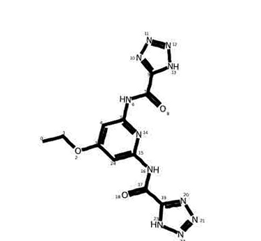 CCOc1cc(NC(=O)c2nnn[nH]2)nc(NC(=O)c2nnn[nH]2)c1